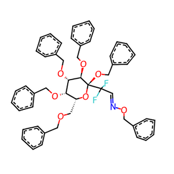 FC(F)(/C=N/OCc1ccccc1)[C@]1(OCc2ccccc2)O[C@H](COCc2ccccc2)[C@H](OCc2ccccc2)[C@H](OCc2ccccc2)[C@H]1OCc1ccccc1